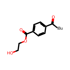 CCC(C)C(=O)c1ccc(C(=O)OCCO)cc1